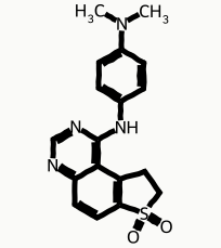 CN(C)c1ccc(Nc2ncnc3ccc4c(c23)CCS4(=O)=O)cc1